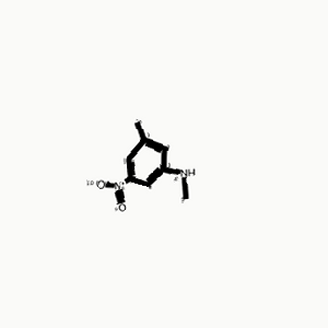 [CH2]c1cc(NC)cc([N+](=O)[O-])c1